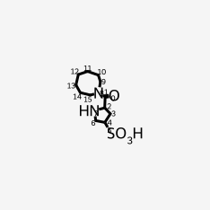 O=C(C1CC(S(=O)(=O)O)CN1)N1CCCCCCC1